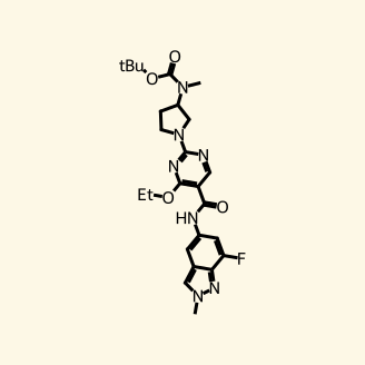 CCOc1nc(N2CCC(N(C)C(=O)OC(C)(C)C)C2)ncc1C(=O)Nc1cc(F)c2nn(C)cc2c1